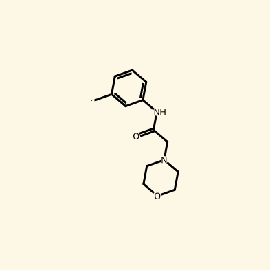 [CH2]c1cccc(NC(=O)CN2CCOCC2)c1